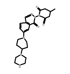 CC1CC(=O)N(n2ncc3ccc(N4CCC(N5CCNCC5)CC4)cc3c2=O)C(=O)C1